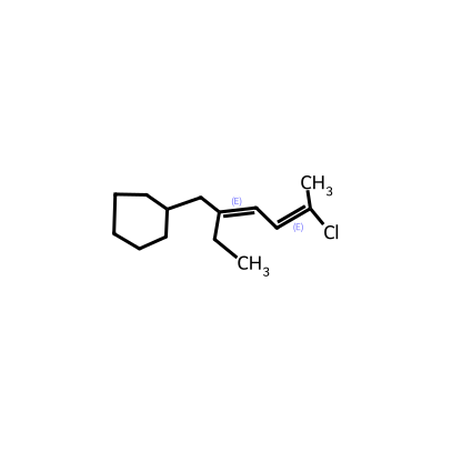 CC/C(=C\C=C(/C)Cl)CC1CCCCC1